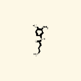 CCCCC(=O)Nc1ccc(C)c(N)c1